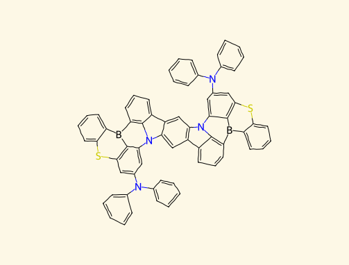 c1ccc(N(c2ccccc2)c2cc3c4c(c2)-n2c5cc6c7cccc8c7n(c6cc5c5cccc(c52)B4c2ccccc2S3)-c2cc(N(c3ccccc3)c3ccccc3)cc3c2B8c2ccccc2S3)cc1